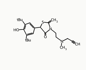 C#CCN(C)CCN1C(=C)SC(c2cc(C(C)(C)C)c(O)c(C(C)(C)C)c2)C1=O